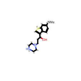 CNc1ccc2c(C(O)CCN3CCNCC3)csc2c1